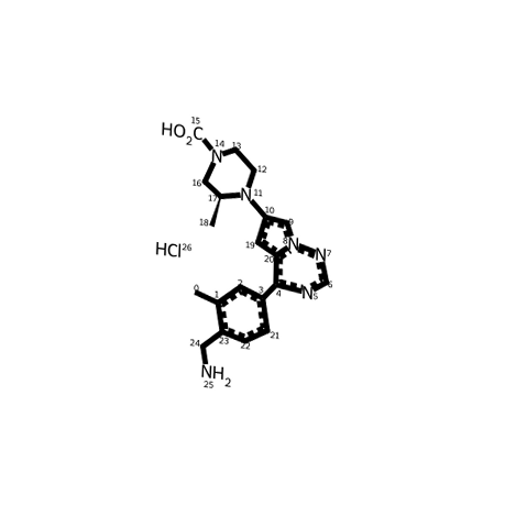 Cc1cc(-c2ncnn3cc(N4CCN(C(=O)O)C[C@@H]4C)cc23)ccc1CN.Cl